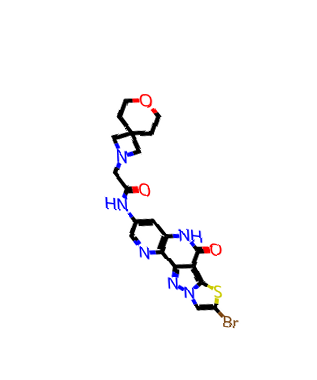 O=C(CN1CC2(CCOCC2)C1)Nc1cnc2c(c1)[nH]c(=O)c1c2nn2cc(Br)sc12